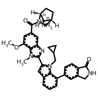 COc1cc(C(=O)N2C[C@H]3CC[C@@H]2[C@@H]3N)cc2nc(-c3cc4cccc(-c5ccc6c(c5)CNC6=O)c4n3CC3CC3)n(C)c12